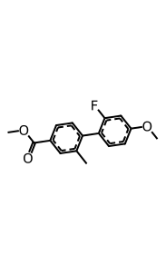 COC(=O)c1ccc(-c2ccc(OC)cc2F)c(C)c1